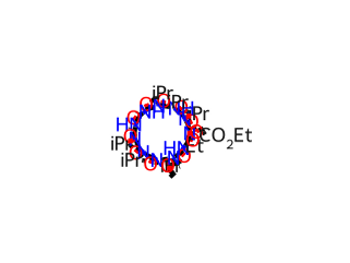 C/C=C/C[C@@H](C)C[C@H]1C(=O)N[C@@H](CC)C(=O)N(C)[C@H](COCC(=O)OCC)C(=O)N(C)[C@@H](CC(C)C)C(=O)N[C@H](C(C)C)C(=O)N(C)[C@H](CCC(C)C)C(=O)N[C@H](C)C(=O)N[C@@H](C)C(=O)N(C)[C@@H](CC(C)C)C(=O)N(C)[C@@H](CC(C)C)C(=O)N(C)[C@@H](C(C)C)C(=O)N1C